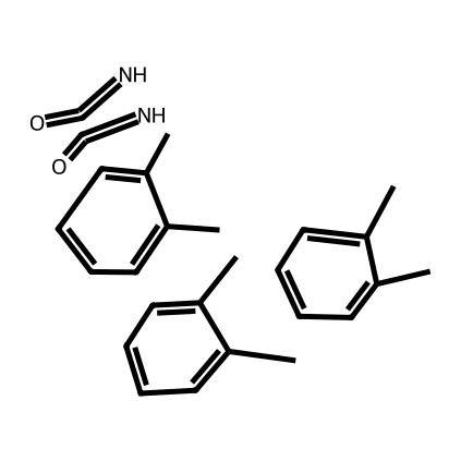 Cc1ccccc1C.Cc1ccccc1C.Cc1ccccc1C.N=C=O.N=C=O